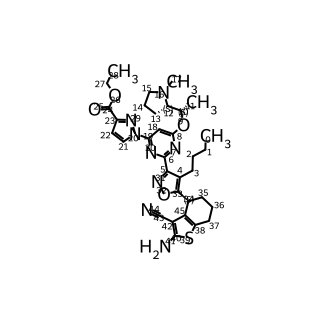 CCCCc1c(-c2nc(O[C@@H](C)[C@@H]3CCCN3C)cc(-n3ccc(C(=O)OCC)n3)n2)noc1[C@H]1CCCc2sc(N)c(C#N)c21